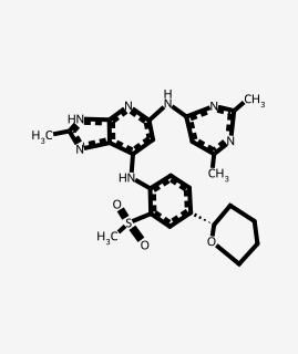 Cc1cc(Nc2cc(Nc3ccc([C@@H]4CCCCO4)cc3S(C)(=O)=O)c3nc(C)[nH]c3n2)nc(C)n1